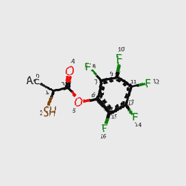 CC(=O)C(S)C(=O)Oc1c(F)c(F)c(F)c(F)c1F